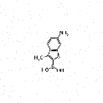 Cc1c(B(O)O)sc2cc(N)ccc12